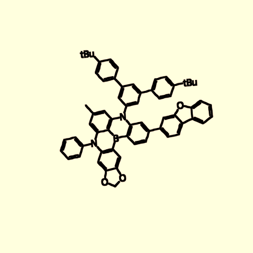 Cc1cc2c3c(c1)N(c1ccccc1)c1cc4c(cc1B3c1ccc(-c3ccc5c(c3)oc3ccccc35)cc1N2c1cc(-c2ccc(C(C)(C)C)cc2)cc(-c2ccc(C(C)(C)C)cc2)c1)OCO4